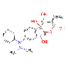 CC(=O)N[C@H]1[C@H](O)O[C@H](CO)[C@](O)(c2ccc(N(c3ccccc3)N(C)C)cc2)[C@@H]1O